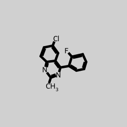 Cc1nc(-c2ccccc2F)c2cc(Cl)ccc2n1